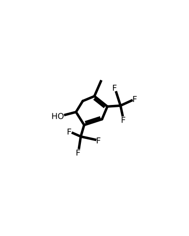 CC1=C(C(F)(F)F)C=C(C(F)(F)F)C(O)C1